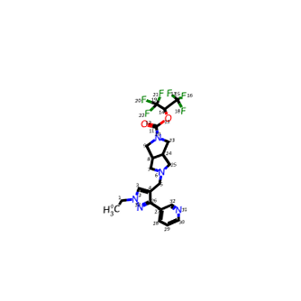 CCn1cc(CN2CC3CN(C(=O)OC(C(F)(F)F)C(F)(F)F)CC3C2)c(-c2cccnc2)n1